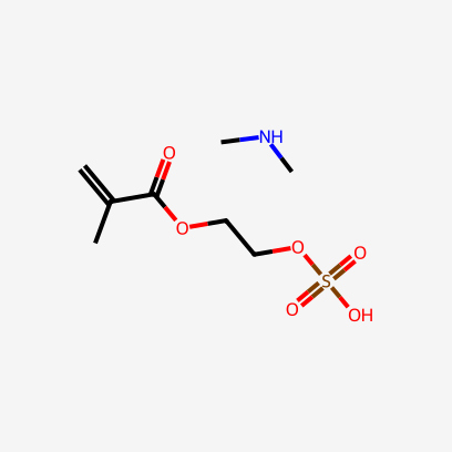 C=C(C)C(=O)OCCOS(=O)(=O)O.CNC